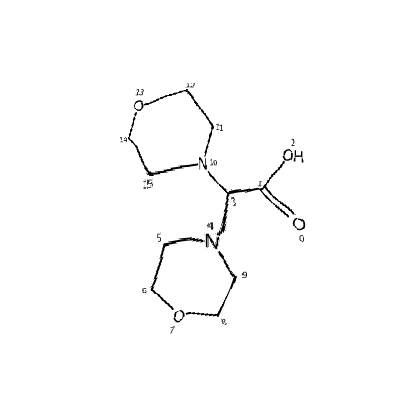 O=C(O)C(N1CCOCC1)N1CCOCC1